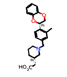 Cc1cc(CN2CCC[C@@H](CC(=O)O)C2)ccc1[C@H]1COc2ccccc2O1